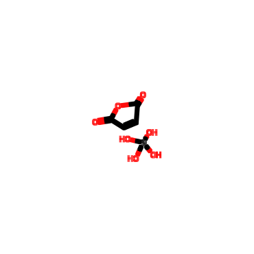 O=C1C=CC(=O)O1.O[Si](O)(O)O